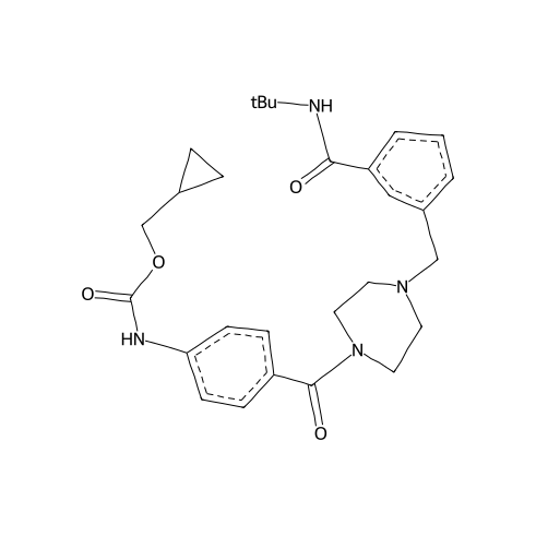 CC(C)(C)NC(=O)c1cccc(CN2CCN(C(=O)c3ccc(NC(=O)OCC4CC4)cc3)CC2)c1